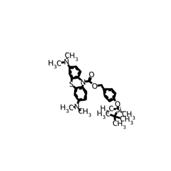 CN(C)c1ccc2c(c1)Sc1cc(N(C)C)ccc1N2C(=O)OCc1ccc(O[Si](C)(C)C(C)(C)C)cc1